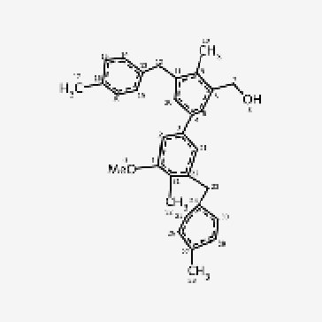 COc1cc(-c2cc(CO)c(C)c(Cc3ccc(C)cc3)c2)cc(Cc2ccc(C)cc2)c1C